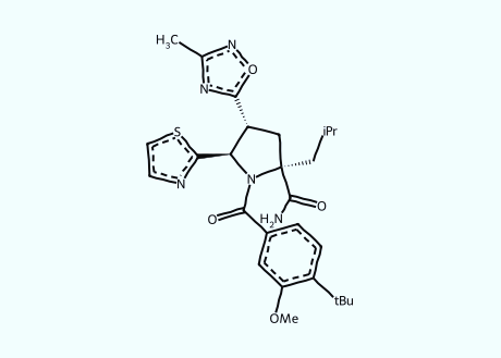 COc1cc(C(=O)N2[C@@H](c3nccs3)[C@H](c3nc(C)no3)C[C@@]2(CC(C)C)C(N)=O)ccc1C(C)(C)C